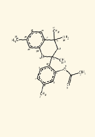 CC(=O)Oc1cc(C)ccc1C1(C)CC(C)(C)c2ccc(C)cc2O1